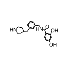 O=C(NCc1cccc(CC2CCNCC2)c1)c1ccc(O)cc1O